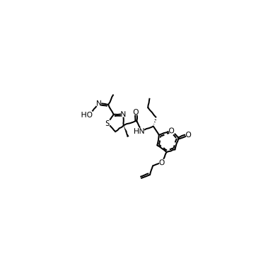 C=CCOc1cc([C@@H](CCC)NC(=O)[C@]2(C)CSC(/C(C)=N\O)=N2)oc(=O)c1